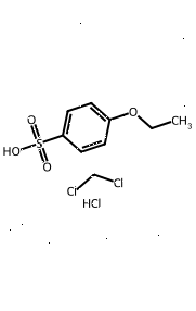 CCOc1ccc(S(=O)(=O)O)cc1.Cl.ClCCl